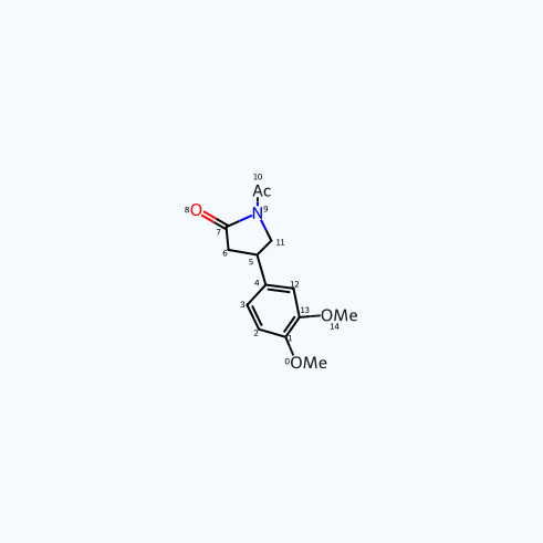 COc1ccc(C2CC(=O)N(C(C)=O)C2)cc1OC